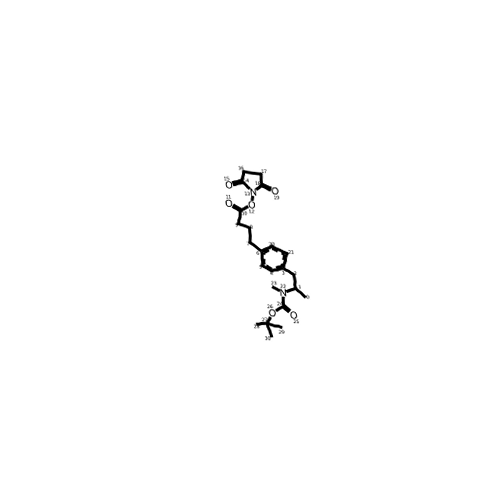 CC(Cc1ccc(CCCC(=O)ON2C(=O)CCC2=O)cc1)N(C)C(=O)OC(C)(C)C